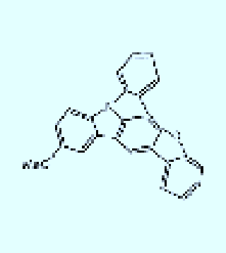 COc1ccc2c(c1)c1cc3c4ccccc4oc3c3c4ccccc4n2c13